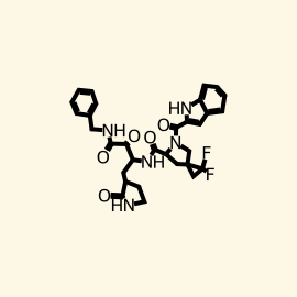 O=C(NCc1ccccc1)C(=O)C(CC1CCNC1=O)NC(=O)C1CC2(CN1C(=O)c1cc3ccccc3[nH]1)CC2(F)F